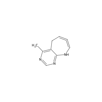 Cc1ncnc2c1CC=C=CN2